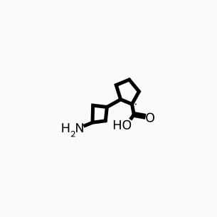 NC1CC(C2CCC[C]2C(=O)O)C1